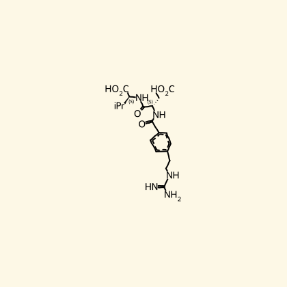 CC(C)[C@H](NC(=O)[C@H](CC(=O)O)NC(=O)c1ccc(CCNC(=N)N)cc1)C(=O)O